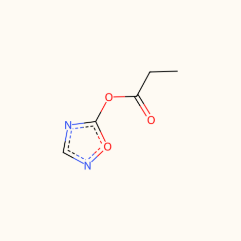 CCC(=O)Oc1ncno1